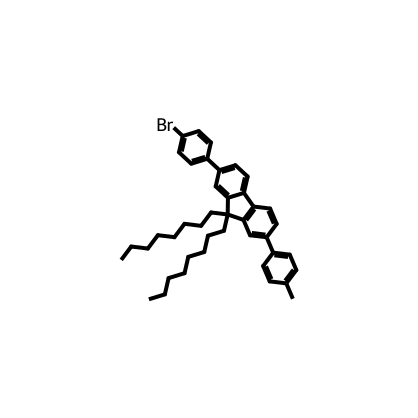 CCCCCCCCC1(CCCCCCCC)c2cc(-c3ccc(C)cc3)ccc2-c2ccc(-c3ccc(Br)cc3)cc21